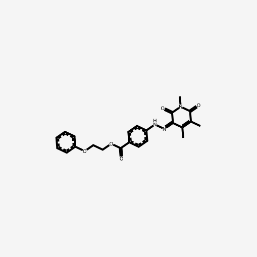 CC1=C(C)/C(=N/Nc2ccc(C(=O)OCCOc3ccccc3)cc2)C(=O)N(C)C1=O